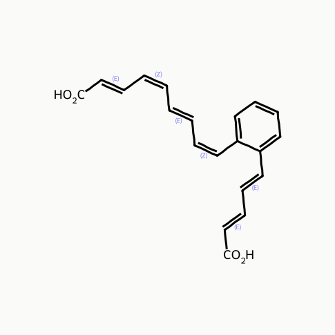 O=C(O)/C=C/C=C\C=C\C=C/c1ccccc1/C=C/C=C/C(=O)O